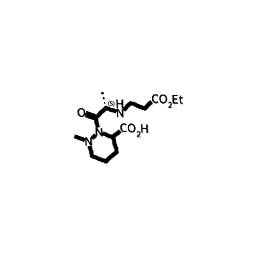 CCOC(=O)CCN[C@@H](C)C(=O)N1C(C(=O)O)CCCN1C